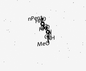 CCCCCC(=O)Nc1ccc(S(=O)(=O)NC(=O)c2ccc(OC(=O)NCCOC)nc2)cc1